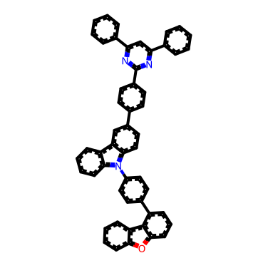 c1ccc(-c2cc(-c3ccccc3)nc(-c3ccc(-c4ccc5c(c4)c4ccccc4n5-c4ccc(-c5cccc6oc7ccccc7c56)cc4)cc3)n2)cc1